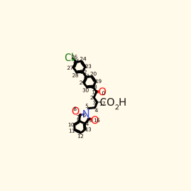 O=C(C[C@@H](CCN1C(=O)c2ccccc2C1=O)C(=O)O)c1ccc(-c2ccc(Cl)cc2)cc1